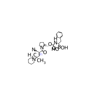 CC(C)(/C=C(\C#N)C(=O)N1CCC[C@@H]1COC(=O)NC(Cc1ccccc1)B(O)O)N1CCCCC1